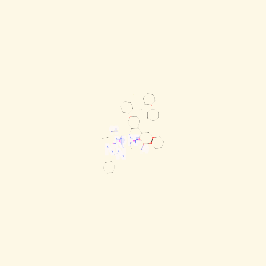 C=C(/C=C\C(=C/C)c1ccccc1)c1nc(C(=C)/C=C\C(=C/C)c2nc3ccccc3c3c4c(ccc23)C2(c3ccccc3Sc3ccccc32)c2ccccc2-4)nc(-c2ccccc2)n1